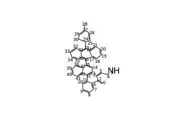 C=C(/C=C\C=N)c1ccccc1-c1ccc(-c2c3ccccc3c(C3C=CC(C)=CC3)c3ccccc23)c2ccccc12